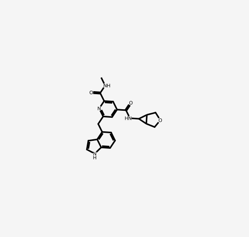 CNC(=O)c1cc(C(=O)NC2C3COCC32)cc(Cc2cccc3[nH]ccc23)n1